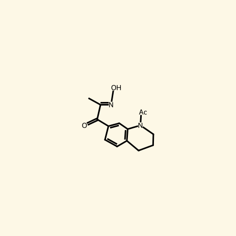 CC(=O)N1CCCc2ccc(C(=O)C(C)=NO)cc21